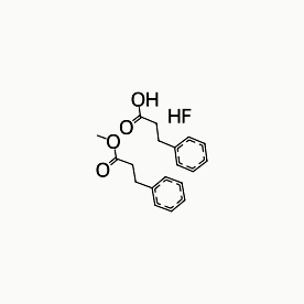 COC(=O)CCc1ccccc1.F.O=C(O)CCc1ccccc1